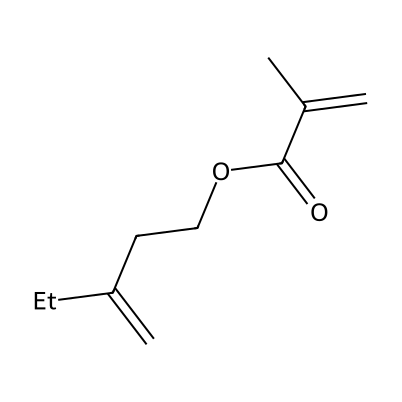 C=C(CC)CCOC(=O)C(=C)C